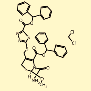 CO[C@@]1(N)C(=O)N2C(C(=O)OC(c3ccccc3)c3ccccc3)=C(CSc3nnc(C(=O)OC(c4ccccc4)c4ccccc4)s3)CS[C@@H]21.ClCCl